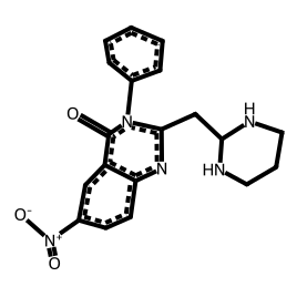 O=c1c2cc([N+](=O)[O-])ccc2nc(CC2NCCCN2)n1-c1ccccc1